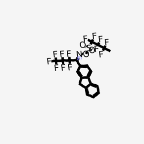 CC(F)(F)C(F)(F)C(F)(F)S(=O)(=O)O/N=C(\c1ccc2c(c1)Cc1ccccc1-2)C(F)(F)C(F)(F)C(F)(F)F